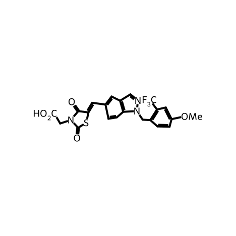 COc1ccc(Cn2ncc3cc(/C=C4\SC(=O)N(CC(=O)O)C4=O)ccc32)c(C(F)(F)F)c1